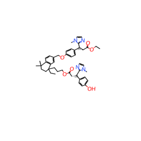 CCOC(=O)C[C@@H](c1ccc(OCc2ccc3c(c2)C(CC)(CCCOC(=O)C[C@@H](c2ccc(O)cc2)c2nccn2C)CCC3(C)C)cc1)c1nccn1C